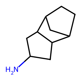 NC1CC2C3CCC(C3)C2C1